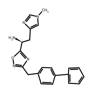 Cn1cnc(C[C@H](N)c2nc(Cc3ccc(-c4ccccc4)cc3)no2)c1